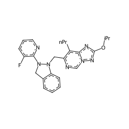 CCCc1c(CN2c3ccccc3CN2c2ncccc2F)ncn2nc(OC(C)C)nc12